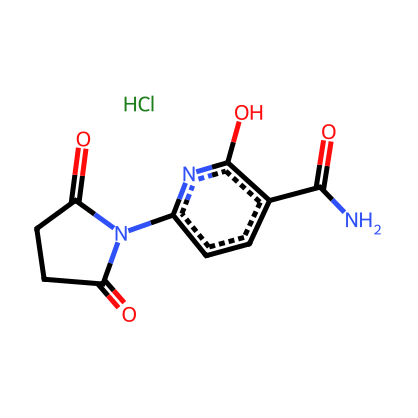 Cl.NC(=O)c1ccc(N2C(=O)CCC2=O)nc1O